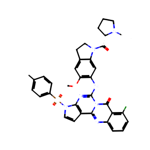 COc1cc2c(cc1Nc1nc3c(ccn3S(=O)(=O)c3ccc(C)cc3)c3nc4cccc(F)c4c(=O)n13)N(C(=O)[C@@H]1CCCN1C)CC2